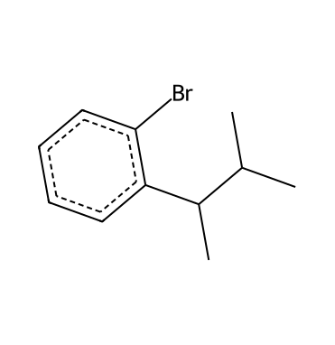 CC(C)C(C)c1ccccc1Br